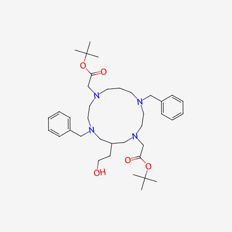 CC(C)(C)OC(=O)CN1CCCN(Cc2ccccc2)CCN(CC(=O)OC(C)(C)C)CC(CCO)CN(Cc2ccccc2)CC1